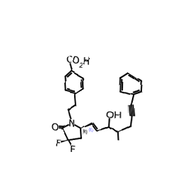 CC(CC#Cc1ccccc1)C(O)/C=C/[C@H]1CC(F)(F)C(=O)N1CCc1ccc(C(=O)O)cc1